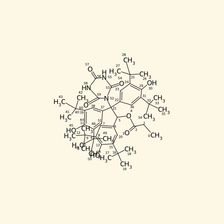 CCC(=O)OC(c1cc(C(C)(C)C)c(O)c(C(C)(C)C)c1)C(c1cc(C(C)(C)C)c(O)c(C(C)(C)C)c1)(c1cc(C(C)(C)C)c(O)c(C(C)(C)C)c1)n1c(=O)[nH]c(=O)[nH]c1=O